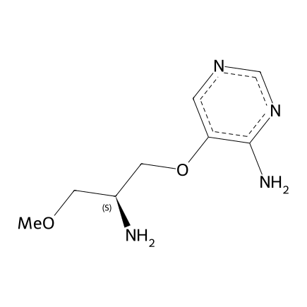 COC[C@H](N)COc1cncnc1N